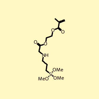 C=C(C)C(=O)OCCOC(=O)CNCCC[Si](OC)(OC)OC